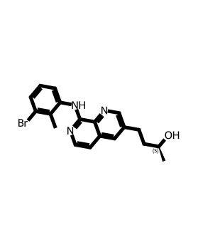 Cc1c(Br)cccc1Nc1nccc2cc(CC[C@H](C)O)cnc12